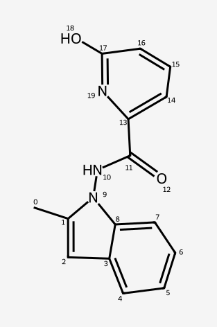 Cc1cc2ccccc2n1NC(=O)c1cccc(O)n1